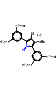 CCCCCc1cc(CCCCC)cc(C2=C(CC)C(CCCC)=C(c3cc(CCCCC)cc(CCCCC)c3)[N+]2=[N-])c1.[Pd]